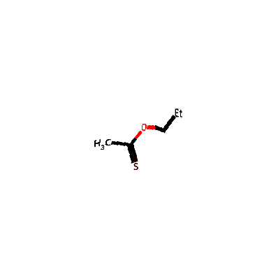 [CH2]CCOC(C)=S